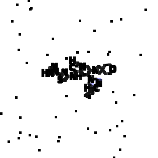 C=C(Nc1csc(-n2nc[nH]2)n1)c1cc(N(/C=N\C)/C=C/C2CC2)c(N2CC3(CCOCC3)C2)cn1